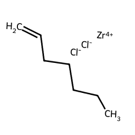 C=CCCCCC.[Cl-].[Cl-].[Zr+4]